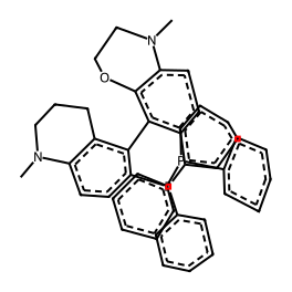 CN1CCCc2c1ccc(P(c1ccccc1)c1ccccc1)c2-c1c(P(c2ccccc2)c2ccccc2)ccc2c1OCCN2C